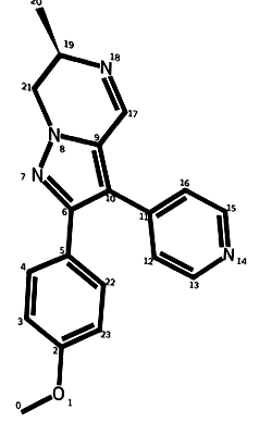 COc1ccc(-c2nn3c(c2-c2ccncc2)C=N[C@H](C)C3)cc1